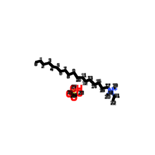 CCCCCCCCCCCCCCCCCC[N+](C)(C)CC.O=S(=O)([O-])O